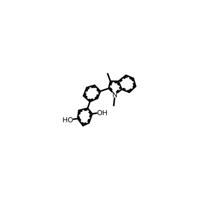 Cc1c(-c2cccc(-c3cc(O)ccc3O)c2)n(C)c2ccccc12